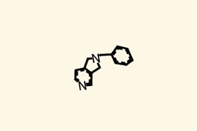 c1ccc(CN2Cc3ccncc3C2)cc1